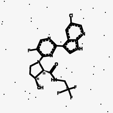 O=C(NCC(F)(F)F)[C@@H]1[C@@H](O)CCN1c1nc(-c2c[nH]c3ncc(Cl)cc23)ncc1F